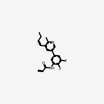 C=CC(=O)Nc1cc(-c2cnc(C)c(/C=C\CC)c2)cc(F)c1F